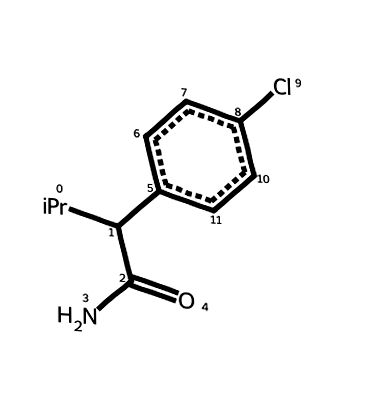 CC(C)C(C(N)=O)c1ccc(Cl)cc1